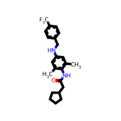 Cc1cc(NCc2ccc(C(F)(F)F)cc2)cc(C)c1NC(=O)CC1CCCC1